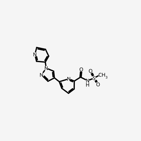 CS(=O)(=O)NC(=O)c1cccc(-c2cnn(-c3cccnc3)c2)n1